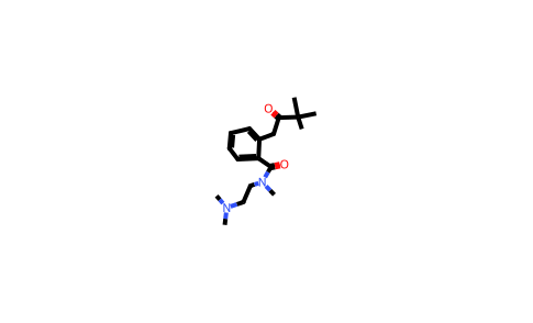 CN(C)CCN(C)C(=O)c1ccccc1CC(=O)C(C)(C)C